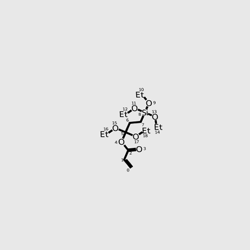 C=CC(=O)OC(CC[Si](OCC)(OCC)OCC)(OCC)OCC